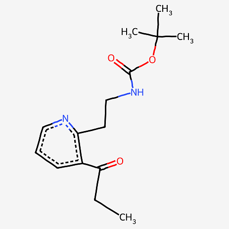 CCC(=O)c1cccnc1CCNC(=O)OC(C)(C)C